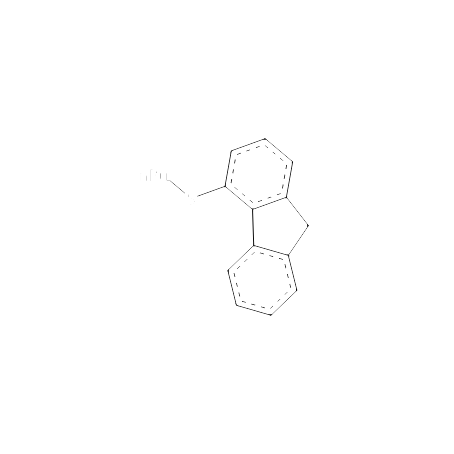 CCCCSc1cccc2c1-c1ccccc1[CH]2